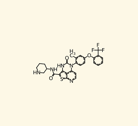 Cc1cc(Oc2ccccc2C(F)(F)F)ccc1N1C(=O)Nc2c(C(=O)NC3CCCNC3)sc3nccc1c23